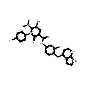 CC(C)c1cc(C(=O)Nc2ccc(Cc3ccnc4[nH]ccc34)c(F)c2)c(=O)n(-c2ccc(F)cc2)c1N(C)C